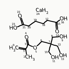 C=C(C)C(=O)OCC(CO)(CO)CO.O=C(O)CCCCC(=O)O.[CaH2]